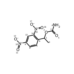 CC(OC(N)=O)c1ccc([N+](=O)[O-])cc1[N+](=O)[O-]